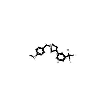 COc1ccc(CN2CCC(c3cncc(C(F)(F)F)c3)C2)cc1